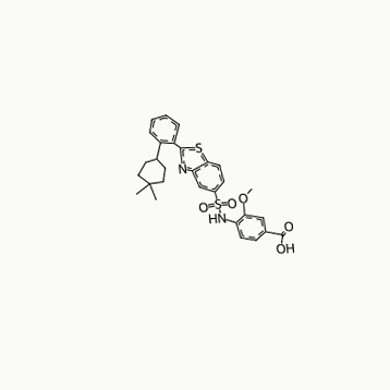 COc1cc(C(=O)O)ccc1NS(=O)(=O)c1ccc2sc(-c3ccccc3C3CCC(C)(C)CC3)nc2c1